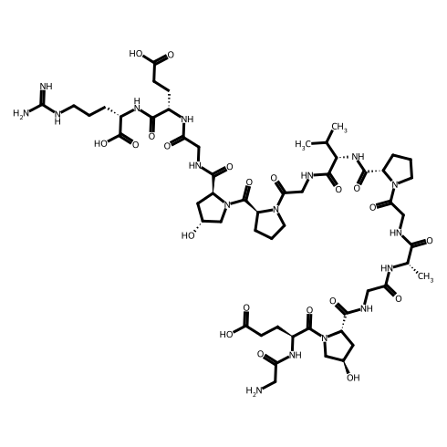 CC(C)[C@H](NC(=O)[C@@H]1CCCN1C(=O)CNC(=O)[C@H](C)NC(=O)CNC(=O)[C@@H]1C[C@@H](O)CN1C(=O)[C@H](CCC(=O)O)NC(=O)CN)C(=O)NCC(=O)N1CCC[C@H]1C(=O)N1C[C@H](O)C[C@H]1C(=O)NCC(=O)N[C@@H](CCC(=O)O)C(=O)N[C@@H](CCCNC(=N)N)C(=O)O